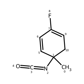 CC1(N=C=O)C=CC(F)=CC1